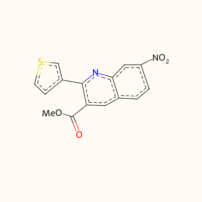 COC(=O)c1cc2ccc([N+](=O)[O-])cc2nc1-c1ccsc1